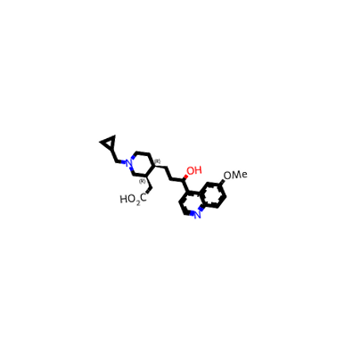 COc1ccc2nccc(C(O)CC[C@@H]3CCN(CC4CC4)C[C@@H]3CC(=O)O)c2c1